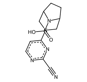 N#Cc1nccc(N2CC3CCC(C2)N3C(=O)O)n1